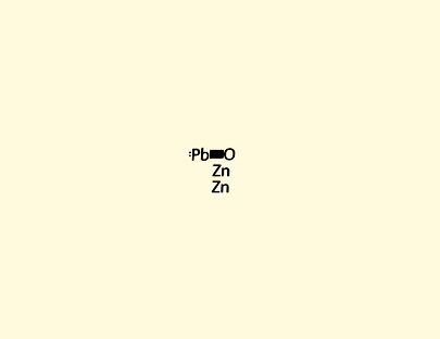 [O]=[Pb].[Zn].[Zn]